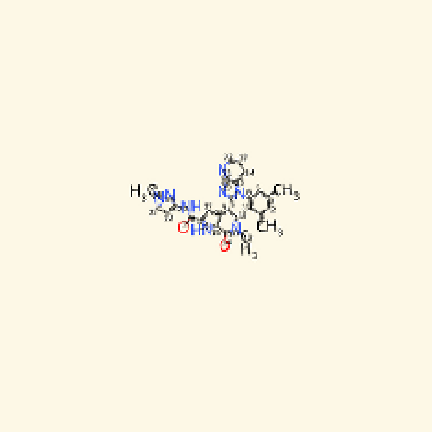 Cc1cc(C)cc(-n2c(-c3cn(C)c(=O)c4[nH]c(C(=O)Nc5ccn(C)n5)cc34)nc3ncccc32)c1